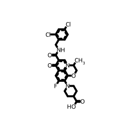 CC1COc2c(N3CCC(C(=O)O)CC3)c(F)cc3c(=O)c(C(=O)NCc4ccc(Cl)cc4Cl)cn1c23